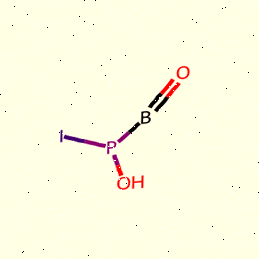 O=BP(O)I